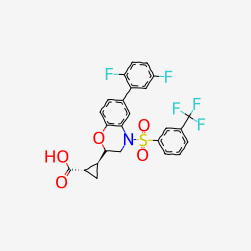 O=C(O)[C@H]1C[C@@H]1C1CN(S(=O)(=O)c2cccc(C(F)(F)F)c2)c2cc(-c3cc(F)ccc3F)ccc2O1